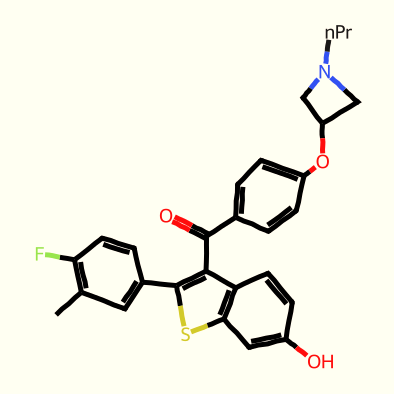 CCCN1CC(Oc2ccc(C(=O)c3c(-c4ccc(F)c(C)c4)sc4cc(O)ccc34)cc2)C1